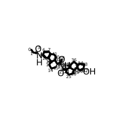 CCC(=O)Nc1ccc2c(c1)[C@@]1(C)CCC[C@]3(C(=O)N3C(=O)[C@@]3(C)CCC[C@]4(C)c5cc(O)ccc5CC[C@@H]34)C1CC2